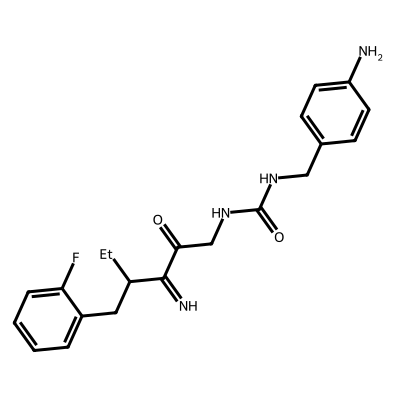 CCC(Cc1ccccc1F)C(=N)C(=O)CNC(=O)NCc1ccc(N)cc1